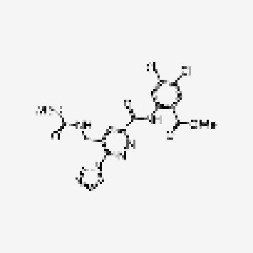 COC(=O)NCc1cc(C(=O)Nc2cc(Cl)c(Cl)cc2C(=O)OC)nnc1-n1ccnc1